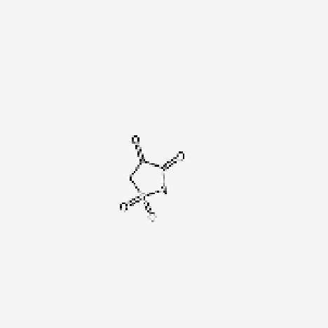 O=C1CS(=O)(=O)[N]C1=O